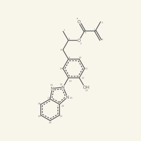 C=C(C)C(=O)OC(C)Cc1ccc(O)c(-n2nc3ccccc3n2)c1